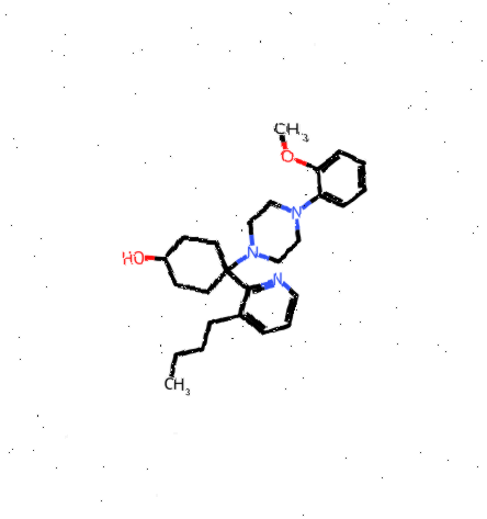 CCCCc1cccnc1C1(N2CCN(c3ccccc3OC)CC2)CCC(O)CC1